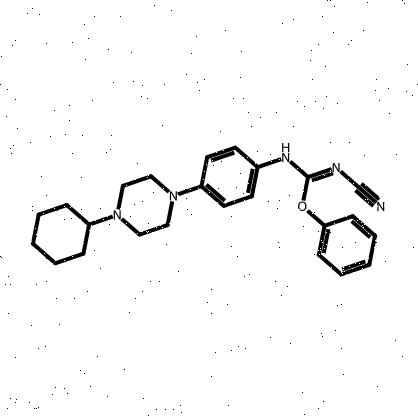 N#C/N=C(/Nc1ccc(N2CCN(C3CCCCC3)CC2)cc1)Oc1ccccc1